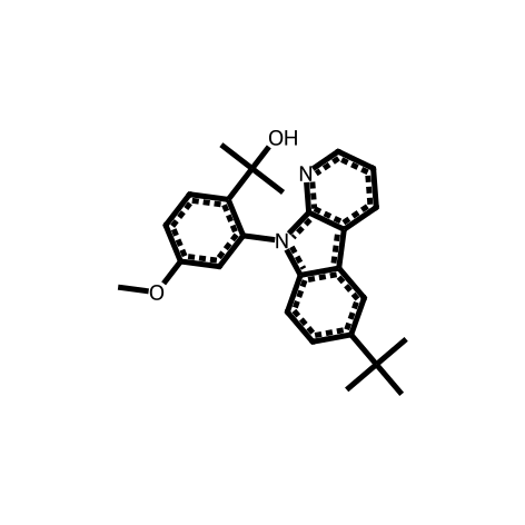 COc1ccc(C(C)(C)O)c(-n2c3ccc(C(C)(C)C)cc3c3cccnc32)c1